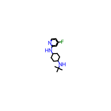 CC(C)(C)NC1CCC(Nc2cc(F)ccn2)CC1